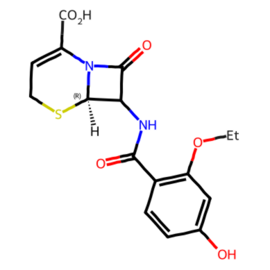 CCOc1cc(O)ccc1C(=O)NC1C(=O)N2C(C(=O)O)=CCS[C@H]12